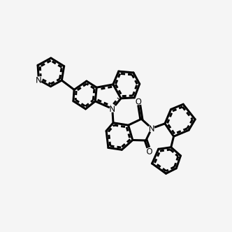 O=C1c2cccc(-n3c4ccccc4c4cc(-c5cccnc5)ccc43)c2C(=O)N1c1ccccc1-c1ccccc1